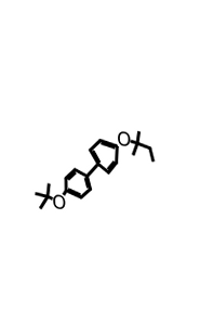 CCC(C)(C)Oc1ccc(-c2ccc(OC(C)(C)C)cc2)cc1